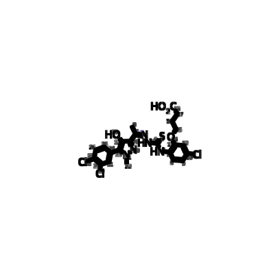 C/C(=N/NC(=S)Nc1ccc(Cl)cc1OCCCC(=O)O)c1nn(C)c(-c2ccc(Cl)c(Cl)c2)c1O